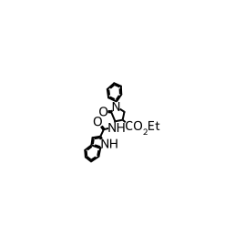 CCOC(=O)C1CN(c2ccccc2)C(=O)C1NC(=O)c1cc2ccccc2[nH]1